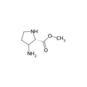 COC(=O)[C@H]1NCCC1N